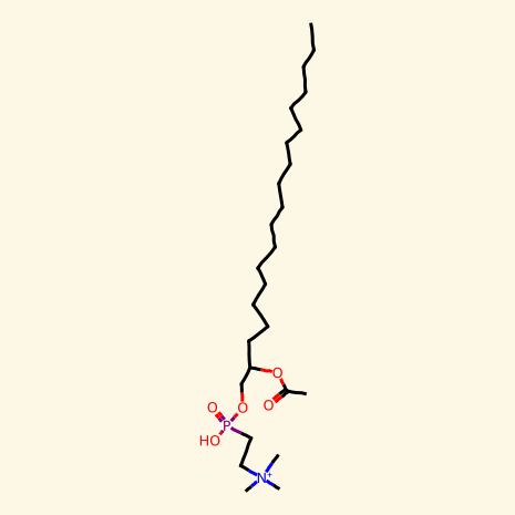 CCCCCCCCCCCCCCCCCC(COP(=O)(O)CC[N+](C)(C)C)OC(C)=O